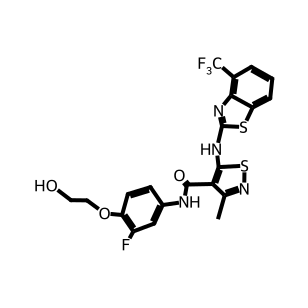 Cc1nsc(Nc2nc3c(C(F)(F)F)cccc3s2)c1C(=O)Nc1ccc(OCCO)c(F)c1